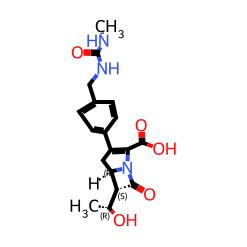 CNC(=O)NCc1ccc(C2=C(C(=O)O)N3C(=O)[C@H]([C@@H](C)O)[C@H]3C2)cc1